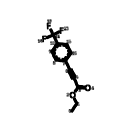 CCOC(=O)C#Cc1ccc(C(F)(F)F)cc1